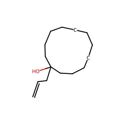 C=CCC1(O)CCCCCCCCCCC1